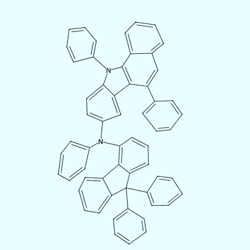 c1ccc(-c2cc3ccccc3c3c2c2cc(N(c4ccccc4)c4cccc5c4-c4ccccc4C5(c4ccccc4)c4ccccc4)ccc2n3-c2ccccc2)cc1